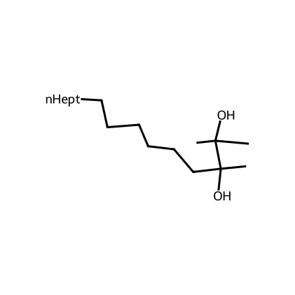 CCCCCCCCCCCCCC(C)(O)C(C)(C)O